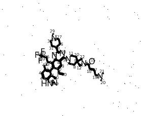 C=Cc1cc2c(N3CCC4(CC3)CN(C(=O)/C=C/CN(C)C)C4)nc(C3CCN(C)CC3)nc2c(CCC(F)(F)F)c1-c1c(C)ccc2[nH]ncc12